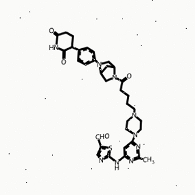 Cc1nc(Nc2ncc(C=O)s2)cc(N2CCN(CCCCC(=O)N3CC4CC3CN4c3ccc(C4CCC(=O)NC4=O)cc3)CC2)n1